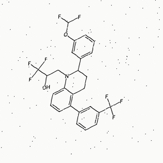 OC(CN1c2cccc(-c3cccc(C(F)(F)F)c3)c2CCC1c1cccc(OC(F)F)c1)C(F)(F)F